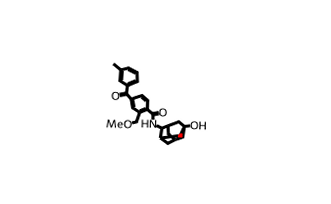 COCc1cc(C(=O)c2cccc(C)c2)ccc1C(=O)NC1C2CC3CC1CC(O)(C3)C2